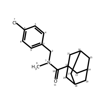 CN(Cc1ccc(Cl)cc1)C(=O)C12CC3CC(CC(C3)C1)C2